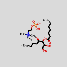 CCCCCCCCCCCCCCCC(=O)OC(C(=O)CCCCCCCCCCCCC)C(O)CO.C[N+](C)(C)CCOP(=O)(O)O